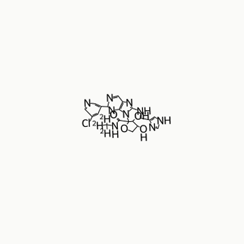 [2H]C([2H])([2H])NC(=O)C1(n2c(NCc3c[nH]cn3)nc3cnc(-c4cncc(Cl)c4)nc32)OCC(O)C1O